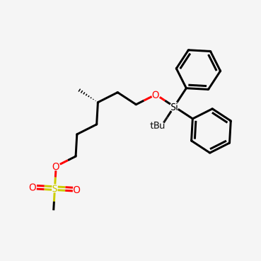 C[C@@H](CCCOS(C)(=O)=O)CCO[Si](c1ccccc1)(c1ccccc1)C(C)(C)C